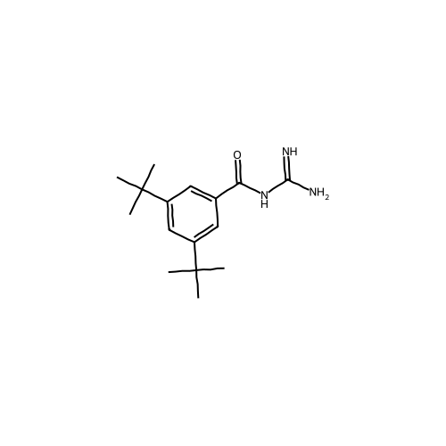 CC(C)(C)c1cc(C(=O)NC(=N)N)cc(C(C)(C)C)c1